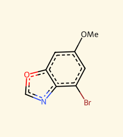 COc1cc(Br)c2ncoc2c1